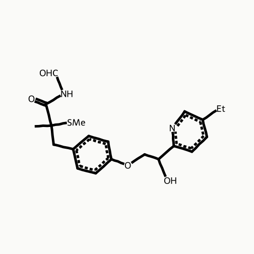 CCc1ccc(C(O)COc2ccc(CC(C)(SC)C(=O)NC=O)cc2)nc1